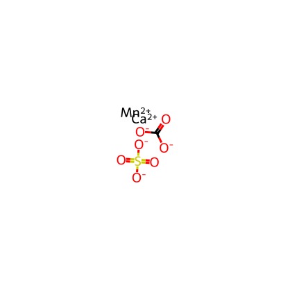 O=C([O-])[O-].O=S(=O)([O-])[O-].[Ca+2].[Mn+2]